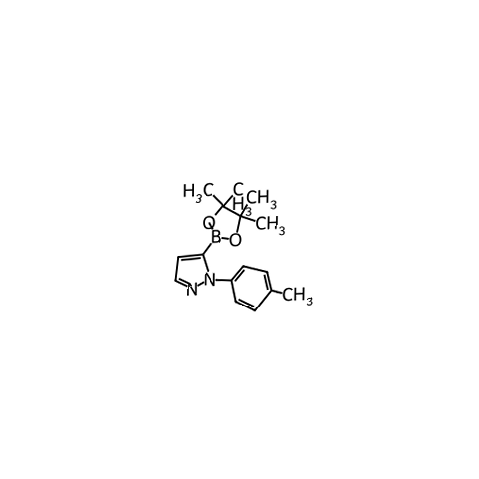 Cc1ccc(-n2nccc2B2OC(C)(C)C(C)(C)O2)cc1